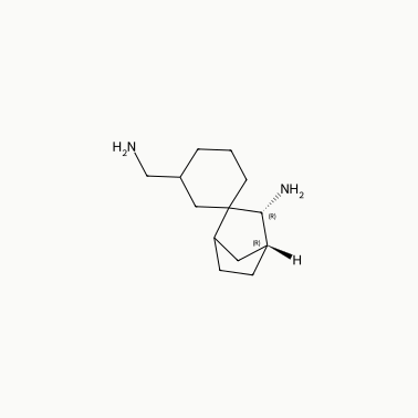 NCC1CCCC2(C1)C1CC[C@H](C1)[C@H]2N